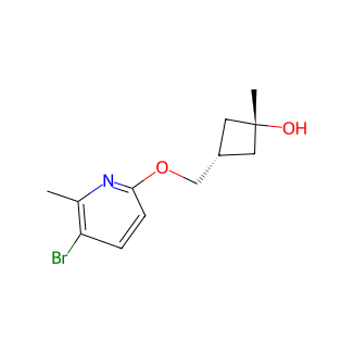 Cc1nc(OC[C@H]2C[C@@](C)(O)C2)ccc1Br